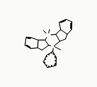 C[Si]1(c2ccccc2)C2CC3C=CC=CC3[CH]2[Hf]([CH3])([CH3])[CH]2C3C=CC=CC3CC21